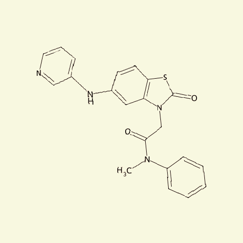 CN(C(=O)Cn1c(=O)sc2ccc(Nc3cccnc3)cc21)c1ccccc1